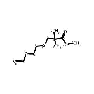 COC(=O)C(C)(C)CSCCOC=O